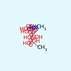 CCCCCCCC(OC1C(O)C(CO)OC(OC2CCOC(CNC(=O)NCC)C2OC2OC(C)C(O)C(O)C2O)C1O)C(=O)O